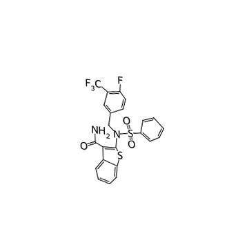 NC(=O)c1c(N(Cc2ccc(F)c(C(F)(F)F)c2)S(=O)(=O)c2ccccc2)sc2ccccc12